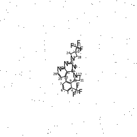 FC(F)(F)c1ccccc1C1CCN1c1nc(N2CC(C(F)(F)F)C2)nc2ncccc12